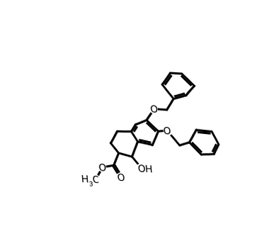 COC(=O)C1CCc2cc(OCc3ccccc3)c(OCc3ccccc3)cc2C1O